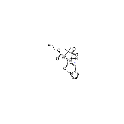 C=CCOC(=O)[C@@H]1N2C(=O)/C(=C\c3cccn3C)[C@H]2S(=O)(=O)C1(C)C